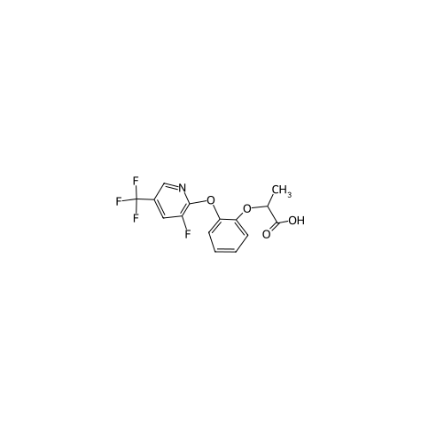 CC(Oc1ccccc1Oc1ncc(C(F)(F)F)cc1F)C(=O)O